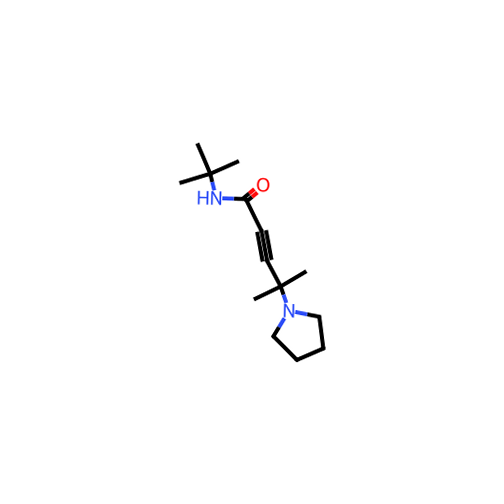 CC(C)(C)NC(=O)C#CC(C)(C)N1CCCC1